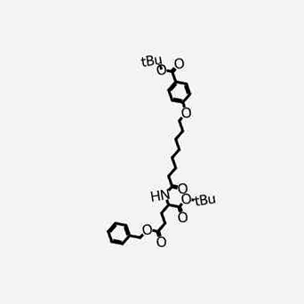 CC(C)(C)OC(=O)c1ccc(OCCCCCCCC(=O)NC(CCC(=O)OCc2ccccc2)C(=O)OC(C)(C)C)cc1